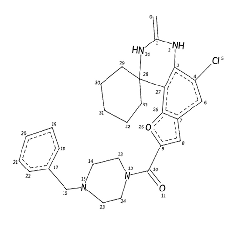 C=C1Nc2c(Cl)cc3cc(C(=O)N4CCN(Cc5ccccc5)CC4)oc3c2C2(CCCCC2)N1